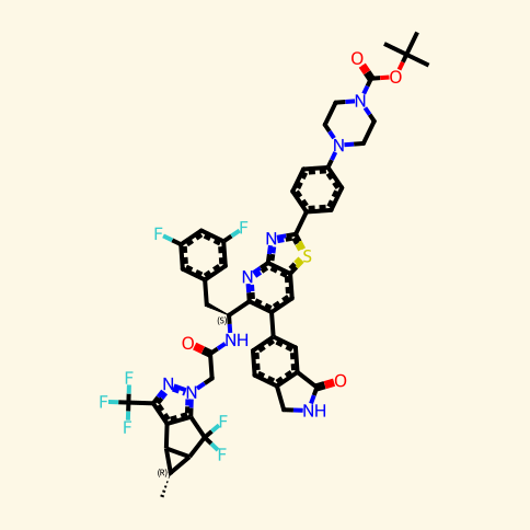 C[C@@H]1C2c3c(C(F)(F)F)nn(CC(=O)N[C@@H](Cc4cc(F)cc(F)c4)c4nc5nc(-c6ccc(N7CCN(C(=O)OC(C)(C)C)CC7)cc6)sc5cc4-c4ccc5c(c4)C(=O)NC5)c3C(F)(F)C21